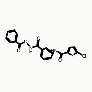 O=C(NOC(=O)c1ccccc1)c1cccc(NC(=O)c2ccc(Cl)s2)c1